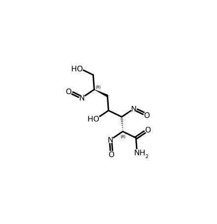 NC(=O)[C@H](N=O)C(N=O)C(O)C[C@H](CO)N=O